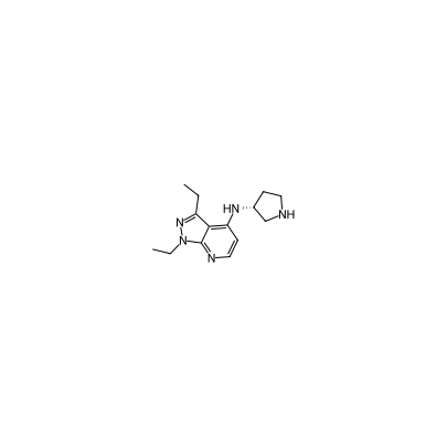 CCc1nn(CC)c2nccc(N[C@@H]3CCNC3)c12